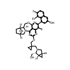 CCc1c(F)ccc2cc(O)cc(-c3nc4c5c(nc(OCC6(CN7C[C@@H]8C[C@@H]8[C@@H]7CO)CC6)nc5c3F)N3C[C@@H]5CC[C@@H](N5)[C@H]3CO4)c12